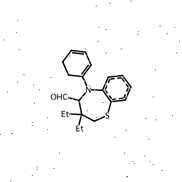 CCC1(CC)CSc2ccccc2N(C2=CC=CCC2)C1C=O